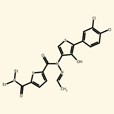 CC=NN(C(=O)c1ccc(C(=O)N(CC)CC)s1)c1csc(-c2ccc(Cl)c(Cl)c2)c1O